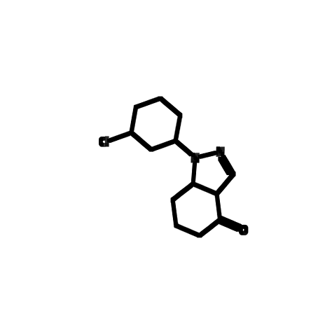 O=C1CCCC2C1C=NN2C1CCCC(Cl)C1